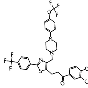 Cc1cc(C(=O)CCc2sc(-c3ccc(C(F)(F)F)cc3)nc2CN2CCN(c3ccc(OC(F)(F)F)cc3)CC2)ccc1O